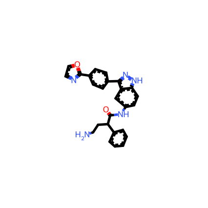 NCCC(C(=O)Nc1ccc2[nH]nc(-c3ccc(-c4ncco4)cc3)c2c1)c1ccccc1